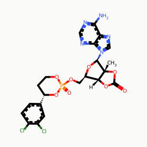 C[C@@]12OC(=O)O[C@@H]1[C@@H](COP1(=O)OCC[C@@H](c3ccc(Cl)c(Cl)c3)O1)O[C@H]2n1cnc2c(N)ncnc21